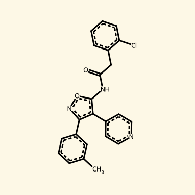 Cc1cccc(-c2noc(NC(=O)Cc3ccccc3Cl)c2-c2ccncc2)c1